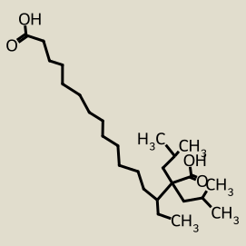 CCC(CCCCCCCCCCCCC(=O)O)C(CC(C)C)(CC(C)C)C(=O)O